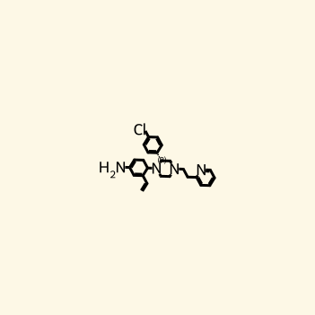 C=CC1=CC(N)=CCC1N1CCN(CCc2ccccn2)C[C@H]1c1ccc(Cl)cc1